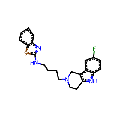 Fc1ccc2[nH]c3c(c2c1)CN(CCCCNc1nc2ccccc2s1)CC3